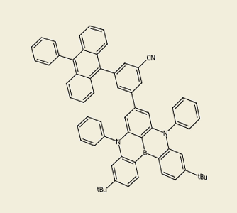 CC(C)(C)c1ccc2c(c1)N(c1ccccc1)c1cc(-c3cc(C#N)cc(-c4c5ccccc5c(-c5ccccc5)c5ccccc45)c3)cc3c1B2c1ccc(C(C)(C)C)cc1N3c1ccccc1